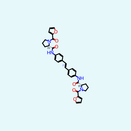 O=C(Nc1ccc(/C=C/c2ccc(NC(=O)[C@@H]3CCCN3C(=O)c3ccco3)cc2)cc1)[C@@H]1CCCN1C(=O)c1ccco1